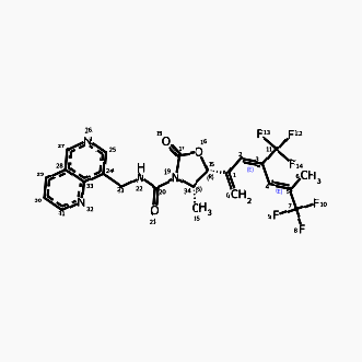 C=C(/C=C(\C=C(/C)C(F)(F)F)C(F)(F)F)[C@H]1OC(=O)N(C(=O)NCc2cncc3cccnc23)[C@H]1C